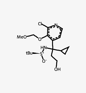 COCOc1c(C(CCO)(N[S@@+]([O-])C(C)(C)C)C2CC2)ccnc1Cl